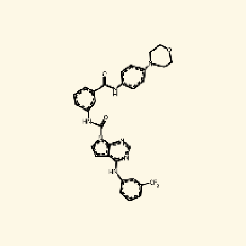 O=C(Nc1ccc(N2CCOCC2)cc1)c1cccc(NC(=O)n2ccc3c(Nc4cccc(C(F)(F)F)c4)ncnc32)c1